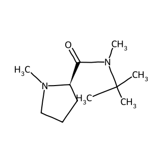 CN1CCC[C@@H]1C(=O)N(C)C(C)(C)C